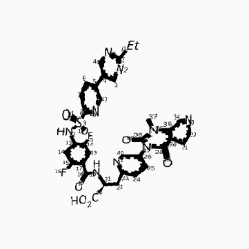 CCc1ncc(-c2ccc(S(=O)(=O)Nc3cc(F)c(C(=O)N[C@@H](Cc4ccc(-n5c(=O)c6ccncc6n(C)c5=O)cn4)C(=O)O)cc3F)nc2)cn1